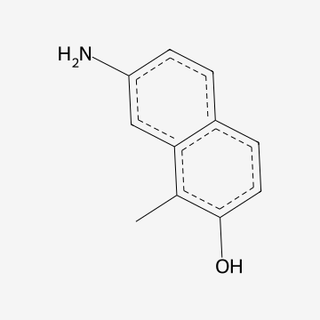 Cc1c(O)ccc2ccc(N)cc12